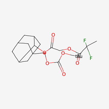 CC(C)(C)OC(=O)OCC12CC3CC(C1)C(OC(=O)COC(=O)C(C)(F)F)C(C3)C2